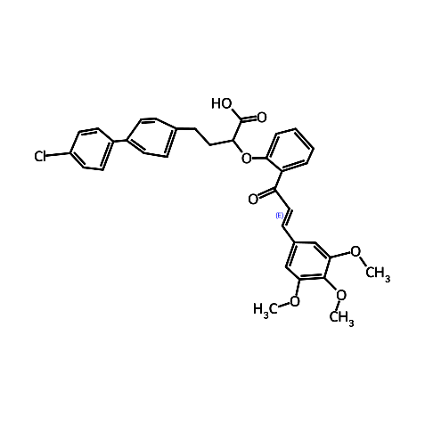 COc1cc(/C=C/C(=O)c2ccccc2OC(CCc2ccc(-c3ccc(Cl)cc3)cc2)C(=O)O)cc(OC)c1OC